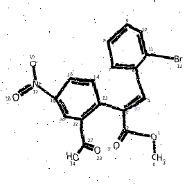 COC(=O)/C(=C/c1ccccc1Br)c1ccc([N+](=O)[O-])cc1C(=O)O